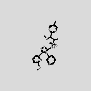 COc1cccc(-c2nnc(NS(=O)(=O)C(C)C(OC)c3ncc(C)cn3)n2-c2cccnc2)n1